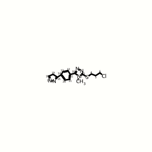 Cn1c(SCCCCl)nnc1-c1ccc(C2=NN=CC2)cc1